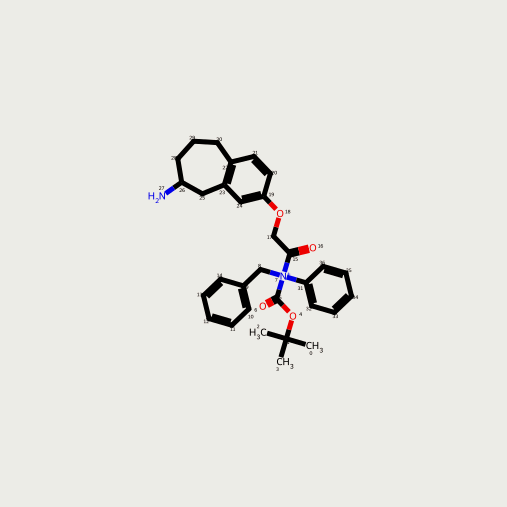 CC(C)(C)OC(=O)[N+](Cc1ccccc1)(C(=O)COc1ccc2c(c1)CC(N)CCC2)c1ccccc1